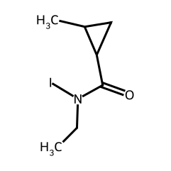 CCN(I)C(=O)C1CC1C